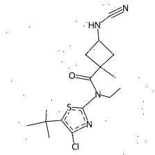 CCN(C(=O)C1(C)CC(NC#N)C1)c1nc(Cl)c(C(C)(C)C)s1